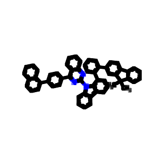 CC1(C)c2ccccc2-c2ccc(-c3ccccc3-c3cccc4c5ccccc5n(-c5nc(-c6ccc(-c7cccc8ccccc78)cc6)c6ccccc6n5)c34)cc21